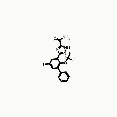 NC(=O)c1nc(-c2cc(F)cc(-c3ccccc3)c2OC(F)(F)F)n[nH]1